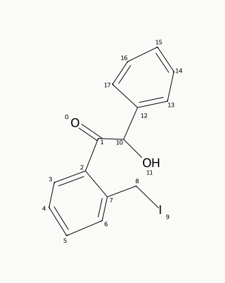 O=C(c1ccccc1CI)C(O)c1ccccc1